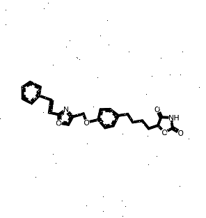 O=C1NC(=O)C(CCCCc2ccc(OCc3coc(C=Cc4ccccc4)n3)cc2)O1